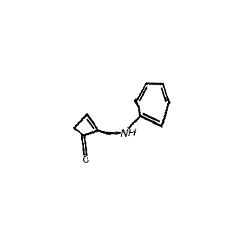 O=C1CC=C1Nc1ccccc1